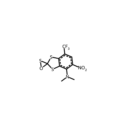 CN(C)c1c([N+](=O)[O-])cc(C(F)(F)F)c2c1SC1(OS1)S2